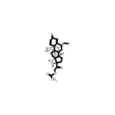 CC(=O)OCC(=O)[C@@]1(O)CC[C@H]2[C@@H]3C[C@H](CF)C4=CC(=O)C=C[C@]4(C)[C@@]3(Cl)[C@@H](Cl)C[C@@]21C